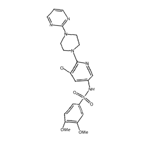 COc1ccc(S(=O)(=O)Nc2cnc(N3CCN(c4ncccn4)CC3)c(Cl)c2)cc1OC